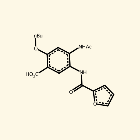 CCCCOc1cc(NC(C)=O)c(NC(=O)c2ccco2)cc1C(=O)O